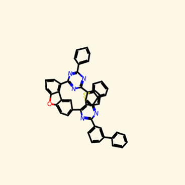 c1ccc(-c2cccc(-c3nc(-c4ccc5oc6cccc(-c7nc(-c8ccccc8)nc(-c8ccccc8)n7)c6c5c4)c4sc5ccccc5c4n3)c2)cc1